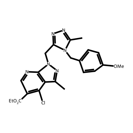 CCOC(=O)c1cnc2c(c(C)nn2Cc2nnc(C)n2Cc2ccc(OC)cc2)c1Cl